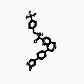 Cn1cc(-c2ccc(-c3cncc4ccc(C(=O)NCc5ccc(C(F)(F)F)cc5)nc34)cc2)cn1